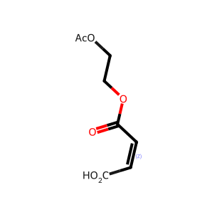 CC(=O)OCCOC(=O)/C=C\C(=O)O